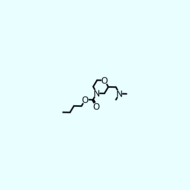 CCCCOC(=O)N1CCOC(CN(C)C)C1